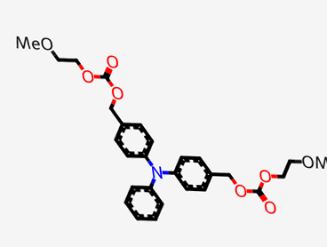 COCCOC(=O)OCc1ccc(N(c2ccccc2)c2ccc(COC(=O)OCCOC)cc2)cc1